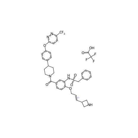 O=C(O)C(F)(F)F.O=C(c1ccc(OC/C=C/C2CNC2)c(NS(=O)(=O)Cc2ccccc2)c1)N1CCC(c2ccc(Oc3ccc(C(F)(F)F)nn3)cc2)CC1